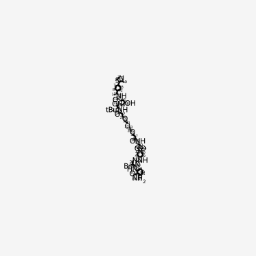 Cc1ncsc1-c1ccc([C@H](C)NC(=O)[C@@H]2C[C@@H](O)CN2C(=O)[C@@H](NC(=O)CCOCCOCCOCCC(=O)NCCS(=O)(=O)N2CCC(Nc3ncc(Br)c(Nc4cccc(F)c4C(N)=O)n3)CC2)C(C)(C)C)cc1